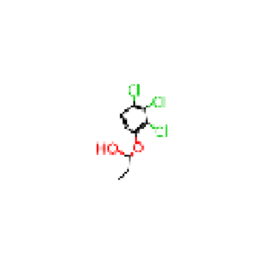 CCC(O)Oc1ccc(Cl)c(Cl)c1Cl